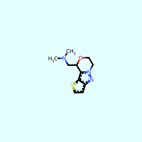 CN(C)CC1OCCn2nc3ccsc3c21